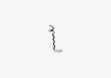 CCOC(=O)CCCCCCCOC(=O)CC(C)=O